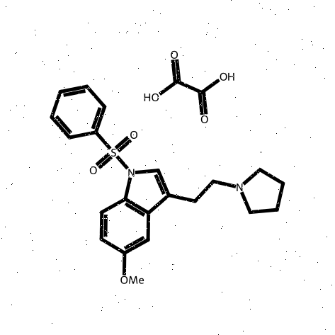 COc1ccc2c(c1)c(CCN1CCCC1)cn2S(=O)(=O)c1ccccc1.O=C(O)C(=O)O